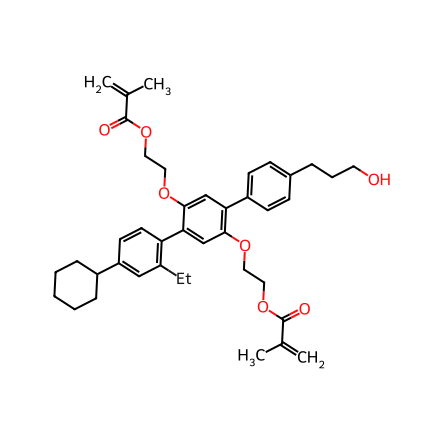 C=C(C)C(=O)OCCOc1cc(-c2ccc(C3CCCCC3)cc2CC)c(OCCOC(=O)C(=C)C)cc1-c1ccc(CCCO)cc1